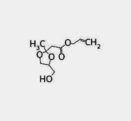 C=CCOC(=O)CC1(C)OCC(CO)O1